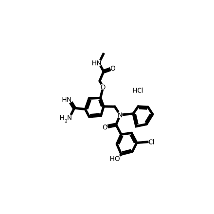 CNC(=O)COc1cc(C(=N)N)ccc1CN(C(=O)c1cc(O)cc(Cl)c1)c1ccccc1.Cl